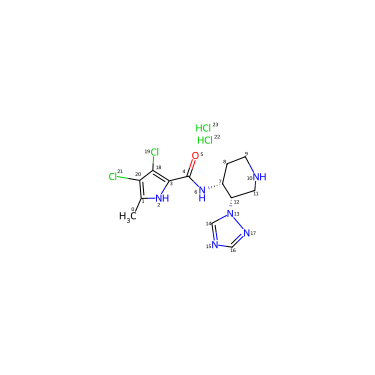 Cc1[nH]c(C(=O)N[C@@H]2CCNC[C@@H]2n2cncn2)c(Cl)c1Cl.Cl.Cl